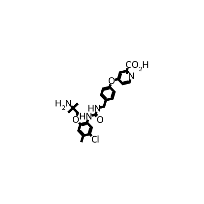 Cc1cc(OCC(C)(C)N)c(NC(=O)NCc2ccc(Oc3ccnc(C(=O)O)c3)cc2)cc1Cl